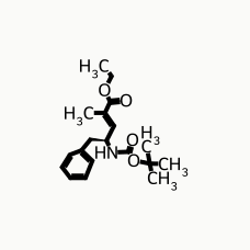 CCOC(=O)/C(C)=C/[C@H](Cc1ccccc1)NC(=O)OC(C)(C)C